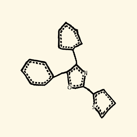 c1ccc(-c2nc(-c3cccs3)oc2-c2ccccc2)cc1